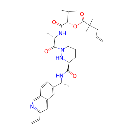 C=CCC(C)(C)C(=O)O[C@H](C(=O)N[C@@H](C)C(=O)N1CCC[C@@H](C(=O)N[C@H](C)c2ccc3cnc(C=C)cc3c2)N1)C(C)C